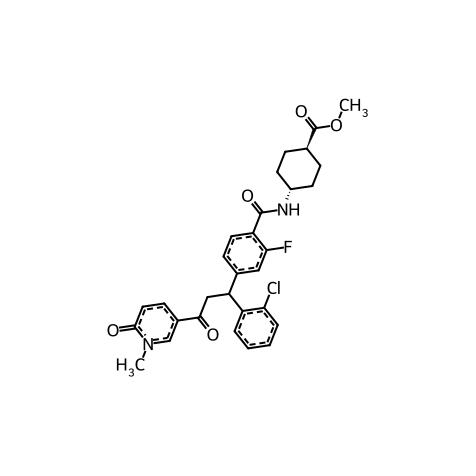 COC(=O)[C@H]1CC[C@H](NC(=O)c2ccc(C(CC(=O)c3ccc(=O)n(C)c3)c3ccccc3Cl)cc2F)CC1